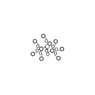 O=C(O[C@H]1Cc2cccc(OCc3ccccc3)c2C[C@H]1c1cc(OCc2ccccc2)c(OCc2ccccc2)c(OCc2ccccc2)c1)c1cc(OCc2ccccc2)c(OCc2ccccc2)c(OCc2ccccc2)c1